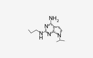 CCCNc1nc(N)c2ccn(C(C)C)c2n1